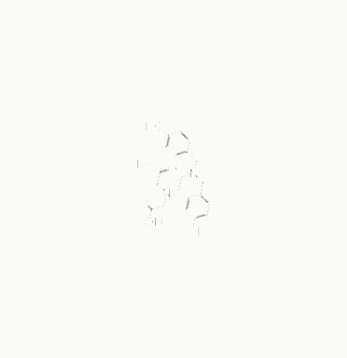 O=C(O)CN(CCN(Cc1ccc(O)cc1)Cc1ccc(O)cc1)CC(=O)O